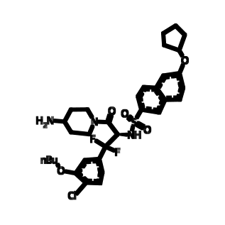 CCCCOc1cc(C(F)(F)[C@H](NS(=O)(=O)c2ccc3cc(OC4CCCC4)ccc3c2)C(=O)N2CCC(N)CC2)ccc1Cl